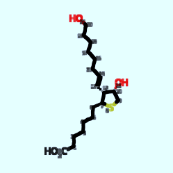 O=C(O)CCCCCC[C@@H]1SC[C@@H](O)[C@H]1C=CCCCCCCO